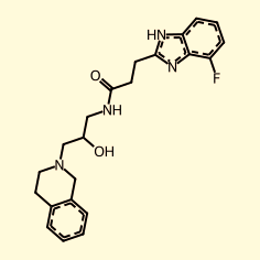 O=C(CCc1nc2c(F)cccc2[nH]1)NCC(O)CN1CCc2ccccc2C1